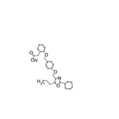 CCCc1oc(-c2ccccc2)nc1COc1ccc(COc2ccccc2CC(=O)O)cc1